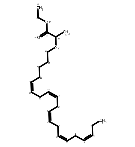 CC/C=C\C/C=C\C/C=C\C/C=C\C/C=C\CCCCSC(C)C(=O)OCC